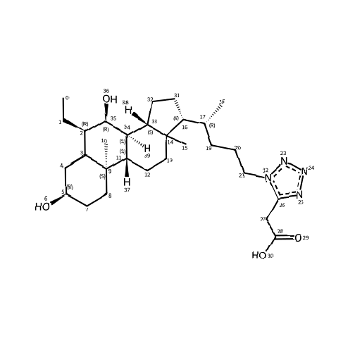 CC[C@@H]1C2C[C@H](O)CC[C@]2(C)[C@H]2CCC3(C)[C@@H]([C@H](C)CCCn4nnnc4CC(=O)O)CC[C@H]3[C@@H]2[C@@H]1O